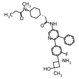 CCC(=O)N(C)[C@H]1CC[C@H](CC(=O)Nc2cnc(-c3ccc([C@]4(N)C[C@](C)(O)C4)c(F)c3)c(-c3ccccc3)c2)CC1